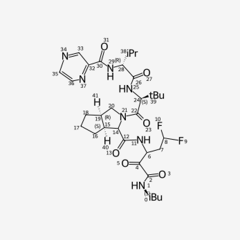 CC[C@H](C)NC(=O)C(=O)C(CC(F)F)NC(=O)C1[C@H]2CCC[C@H]2CN1C(=O)[C@@H](NC(=O)[C@H](NC(=O)c1cnccn1)C(C)C)C(C)(C)C